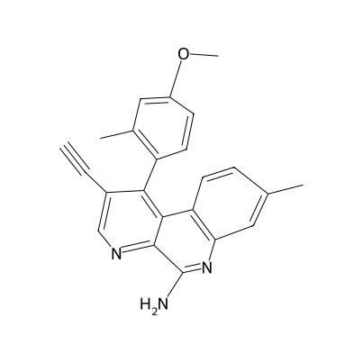 C#Cc1cnc2c(N)nc3cc(C)ccc3c2c1-c1ccc(OC)cc1C